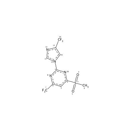 CS(=O)(=O)c1cc(C(F)(F)F)nc(-n2cnc(C(F)(F)F)c2)n1